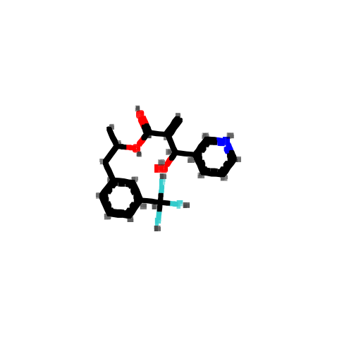 C=C(C(=O)OC(C)Cc1cccc(C(F)(F)F)c1)C(O)c1cccnc1